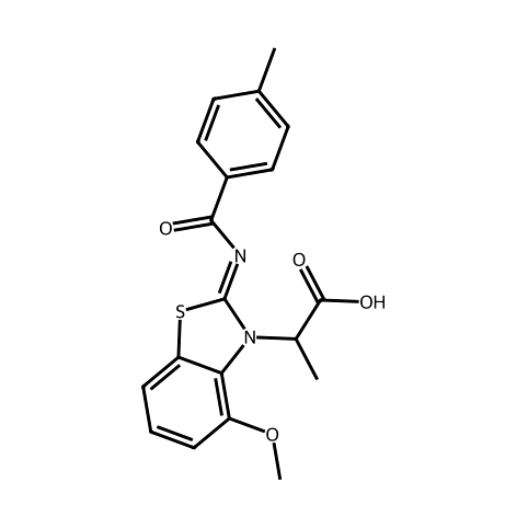 COc1cccc2sc(=NC(=O)c3ccc(C)cc3)n(C(C)C(=O)O)c12